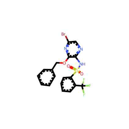 O=S(=O)(Nc1ncc(Br)nc1OCc1ccccc1)c1ccccc1C(F)(F)F